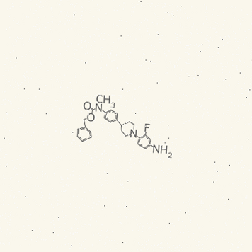 CN(C(=O)OCc1ccccc1)c1ccc(C2CCN(c3ccc(N)cc3F)CC2)cc1